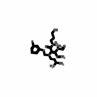 C=N/C(=C(/C(=O)N(C)CCCO)N(CCC(C)C)COc1cccc(F)c1)N(C)C=O